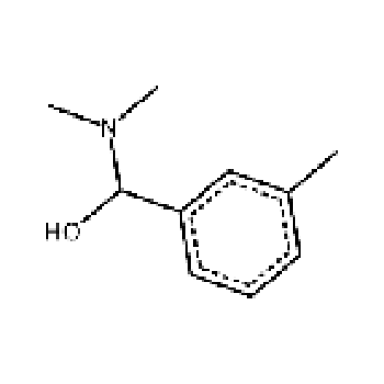 Cc1cccc(C(O)N(C)C)c1